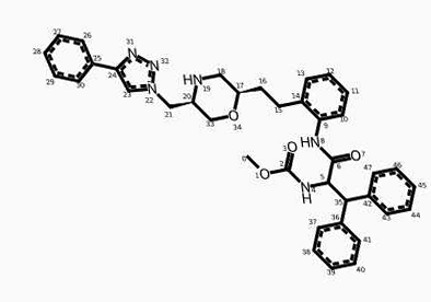 COC(=O)NC(C(=O)Nc1ccccc1CC[C@@H]1CN[C@H](Cn2cc(-c3ccccc3)nn2)CO1)C(c1ccccc1)c1ccccc1